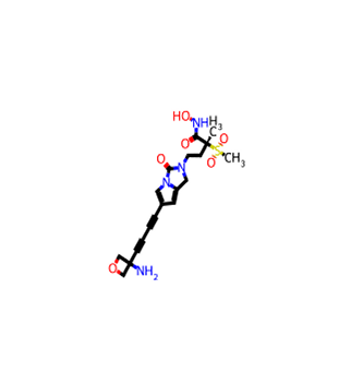 C[C@@](CCN1Cc2cc(C#CC#CC3(N)COC3)cn2C1=O)(C(=O)NO)S(C)(=O)=O